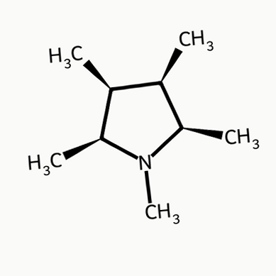 C[C@@H]1[C@H](C)[C@H](C)N(C)[C@@H]1C